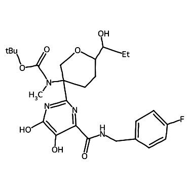 CCC(O)C1CCC(c2nc(O)c(O)c(C(=O)NCc3ccc(F)cc3)n2)(N(C)C(=O)OC(C)(C)C)CO1